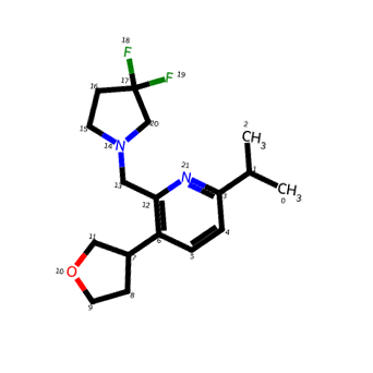 CC(C)c1ccc(C2CCOC2)c(CN2CCC(F)(F)C2)n1